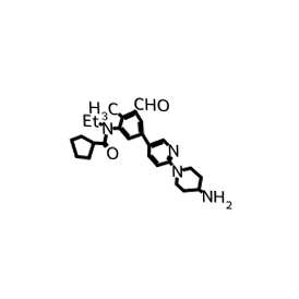 CCN(C(=O)C1CCCC1)c1cc(-c2ccc(N3CCC(N)CC3)nc2)cc(C=O)c1C